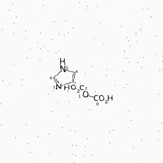 O=C(O)OC(=O)O.c1c[nH]cn1